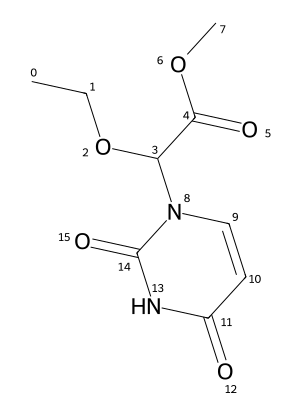 CCOC(C(=O)OC)n1ccc(=O)[nH]c1=O